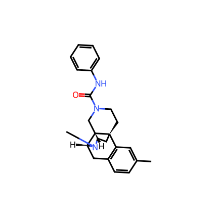 Cc1ccc2c(c1)[C@@]13CCN(C(=O)Nc4ccccc4)C[C@H]1[C@@H](C2)N(C)CC3